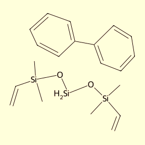 C=C[Si](C)(C)O[SiH2]O[Si](C)(C)C=C.c1ccc(-c2ccccc2)cc1